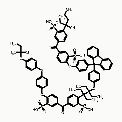 CCCC(C)(CC)c1ccc(C(=O)c2ccc(Oc3ccc(C4(c5ccc(OC(CC)(CC)C(CC)(CC)c6ccc(C(=O)c7ccc(Oc8ccc(Sc9ccc(OC(C)(C)CC)cc9)cc8)c(S(=O)(=O)O)c7)cc6S(=O)(=O)O)cc5)c5ccccc5-c5ccccc54)cc3)c(S(=O)(=O)O)c2)cc1S(=O)(=O)O